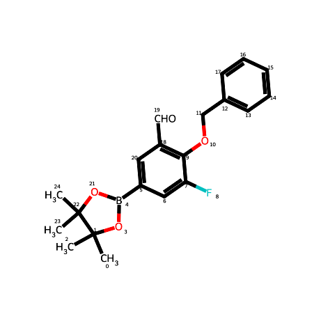 CC1(C)OB(c2cc(F)c(OCc3ccccc3)c(C=O)c2)OC1(C)C